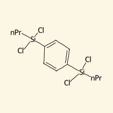 CCC[Si](Cl)(Cl)c1ccc([Si](Cl)(Cl)CCC)cc1